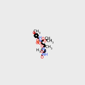 COc1ccc(COP(=O)(NCC(=O)OC(C)C)OCC2CC(C)C(N(C)/C=C\C(=O)NC=O)O2)cc1